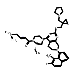 Cc1c(F)ccc2cccc(N3CCc4c(nc(OCC5(CN6CCCC6)CC5)nc4N4CCN(C(=O)/C=C/CN(C)C)[C@@H](CC#N)C4)C3)c12